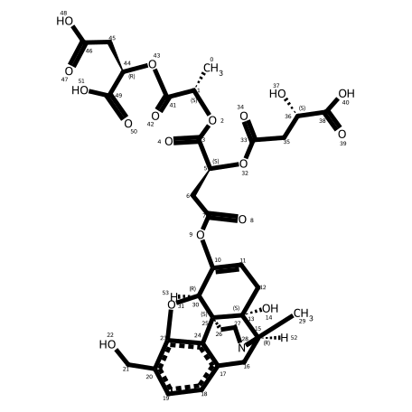 C[C@H](OC(=O)[C@H](CC(=O)OC1=CC[C@@]2(O)[C@H]3Cc4ccc(CO)c5c4[C@@]2(CCN3C)[C@H]1O5)OC(=O)C[C@H](O)C(=O)O)C(=O)O[C@H](CC(=O)O)C(=O)O